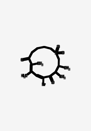 CC1=C(/C)C(=O)CCCCS(=O)(=O)CC(C)C(C)C(=O)/C(Br)=C\1